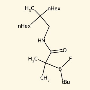 CCCCCCC(C)(CCCCCC)CNC(=O)C(C)(C)B(F)C(C)(C)C